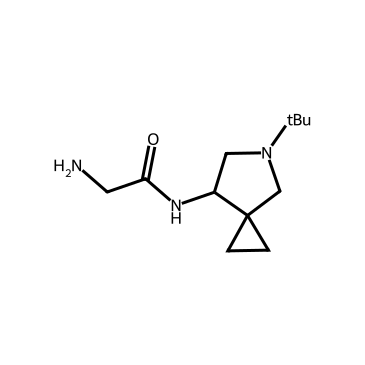 CC(C)(C)N1CC(NC(=O)CN)C2(CC2)C1